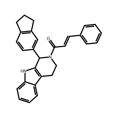 O=C(/C=C/c1ccccc1)N1CCc2c([nH]c3ccccc23)C1c1ccc2c(c1)CCC2